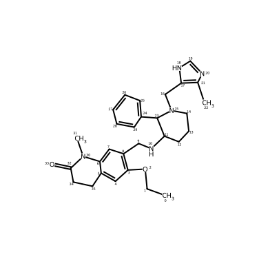 CCOc1cc2c(cc1CNC1CCCN(Cc3[nH]cnc3C)C1c1ccccc1)N(C)C(=O)CC2